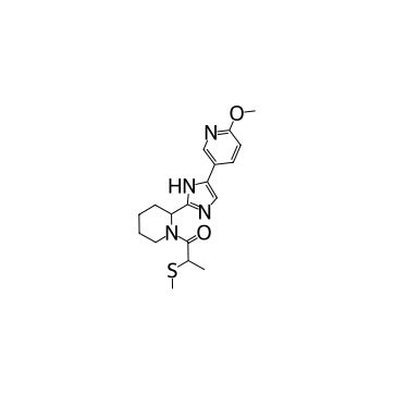 COc1ccc(-c2cnc(C3CCCCN3C(=O)C(C)SC)[nH]2)cn1